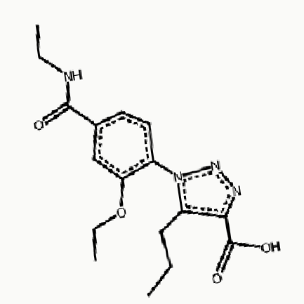 CCCc1c(C(=O)O)nnn1-c1ccc(C(=O)NCC)cc1OCC